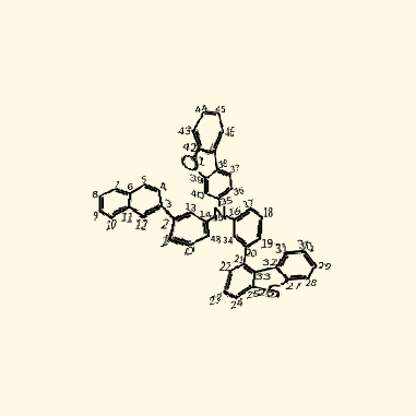 c1cc(-c2ccc3ccccc3c2)cc(N(c2cccc(-c3cccc4sc5ccccc5c34)c2)c2ccc3c(c2)oc2ccccc23)c1